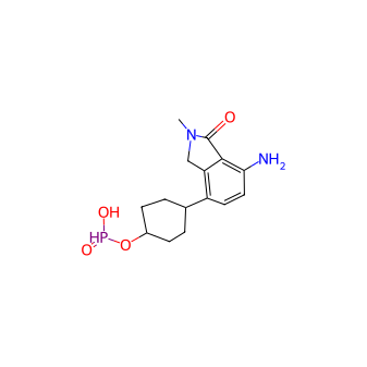 CN1Cc2c(C3CCC(O[PH](=O)O)CC3)ccc(N)c2C1=O